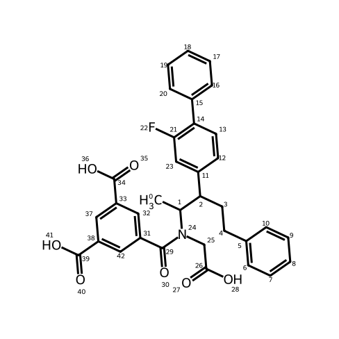 CC(C(CCc1ccccc1)c1ccc(-c2ccccc2)c(F)c1)N(CC(=O)O)C(=O)c1cc(C(=O)O)cc(C(=O)O)c1